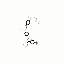 CN(C)[C@H]1CCN(C(=O)c2ccc(NC(=O)Nc3ccc(-c4nc(N5CCOCC5)c5ccc(C(C)(C)O)cc5n4)cc3)cc2)C1